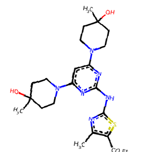 CCOC(=O)c1sc(Nc2nc(N3CCC(C)(O)CC3)cc(N3CCC(C)(O)CC3)n2)nc1C